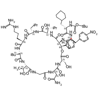 CC[C@H](C)[C@@H]1NC(=O)[C@@H](CCCNC(=N)N)NC(=O)[C@H](CC(C)C)NC(=O)[C@H]([C@H](O)C(C)C)NC(=O)[C@@H](NC(=O)[C@H](Cc2ccc([N+](=O)[O-])cc2)NC(=O)[C@H](CC2CCCCC2)NC(=O)OC(C)(C)C)[C@@H](c2ccccc2)OC(=O)[C@H](CO)NC(=O)[C@H]([C@H](O)C(N)=O)NC(=O)CNC(=O)[C@H]([C@H](C)O)NC1=O